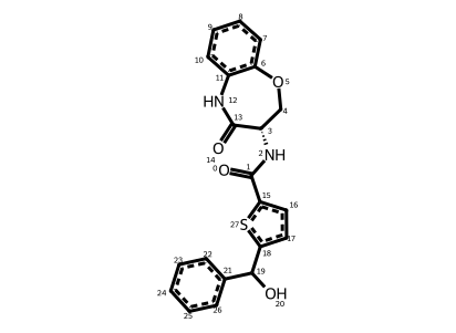 O=C(N[C@H]1COc2ccccc2NC1=O)c1ccc(C(O)c2ccccc2)s1